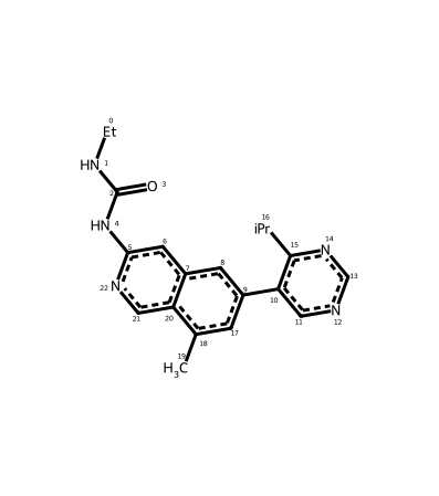 CCNC(=O)Nc1cc2cc(-c3cncnc3C(C)C)cc(C)c2cn1